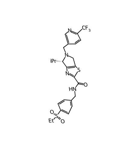 CCS(=O)(=O)c1ccc(CNC(=O)c2nc3c(s2)CN(Cc2ccc(C(F)(F)F)nc2)[C@H]3C(C)C)cc1